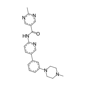 Cc1ncc(C(=O)Nc2ccc(-c3cccc(N4CCN(C)CC4)c3)cn2)cn1